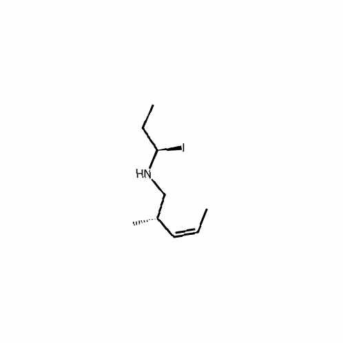 C/C=C\[C@H](C)CN[C@H](I)CC